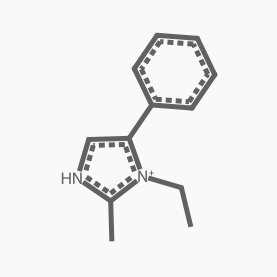 CC[n+]1c(-c2ccccc2)c[nH]c1C